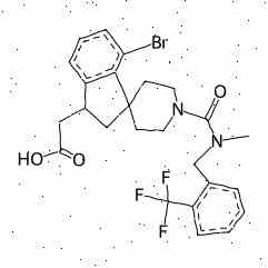 CN(Cc1ccccc1C(F)(F)F)C(=O)N1CCC2(CC1)CC(CC(=O)O)c1cccc(Br)c12